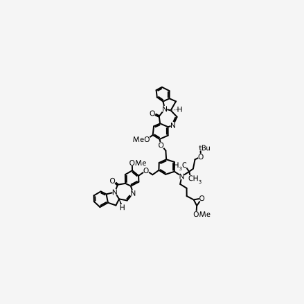 COc1cc2c(cc1OCc1cc(COc3cc4c(cc3OC)C(=O)N3c5ccccc5C[C@H]3C=N4)cc(N(CCCC3OC3OC)C(C)(C)CCOC(C)(C)C)c1)N=C[C@@H]1Cc3ccccc3N1C2=O